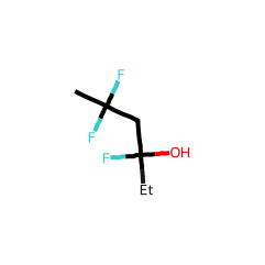 CCC(O)(F)CC(C)(F)F